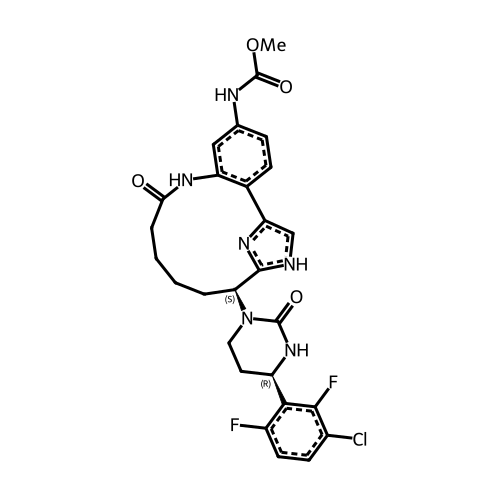 COC(=O)Nc1ccc2c(c1)NC(=O)CCCC[C@H](N1CC[C@H](c3c(F)ccc(Cl)c3F)NC1=O)c1nc-2c[nH]1